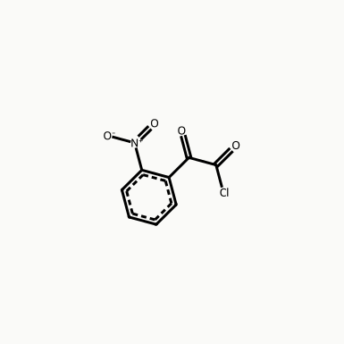 O=C(Cl)C(=O)c1ccccc1[N+](=O)[O-]